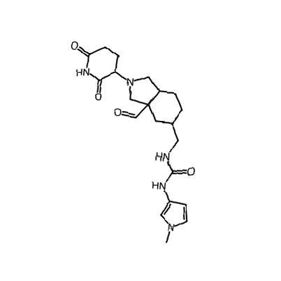 Cn1ccc(NC(=O)NCC2CCC3CN(C4CCC(=O)NC4=O)CC3(C=O)C2)c1